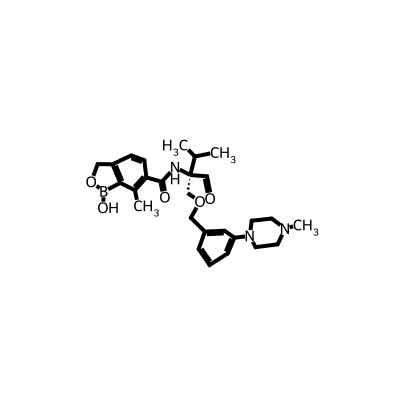 Cc1c(C(=O)N[C@@](C=O)(COCc2cccc(N3CCN(C)CC3)c2)C(C)C)ccc2c1B(O)OC2